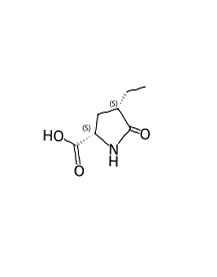 CC[C@H]1C[C@@H](C(=O)O)NC1=O